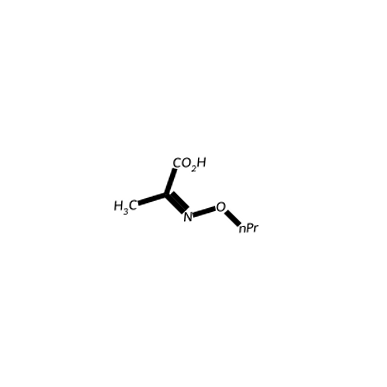 CCCO/N=C(/C)C(=O)O